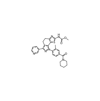 COC(=O)Nc1nc2c(s1)-c1c(c(-c3cccnc3)nn1-c1ccc(C(=O)N3CCCCC3)cc1C)CC2